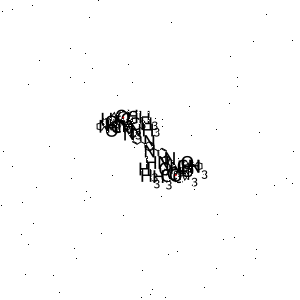 CC(C)(C)[C@H](NC(=O)[C@](C)(OC(=O)N1CCCC1)C1(C)CC1)c1nc2ccc(-c3cnc(-c4ccc5nc([C@@H](NC(=O)[C@](C)(OC(=O)N6CCCC6)C6(C)CC6)C(C)(C)C)[nH]c5c4)cn3)cc2[nH]1